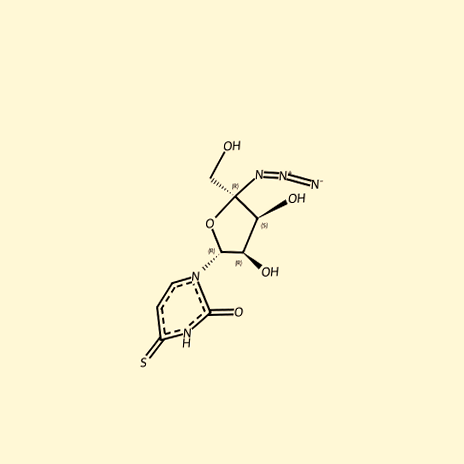 [N-]=[N+]=N[C@]1(CO)O[C@@H](n2ccc(=S)[nH]c2=O)[C@H](O)[C@@H]1O